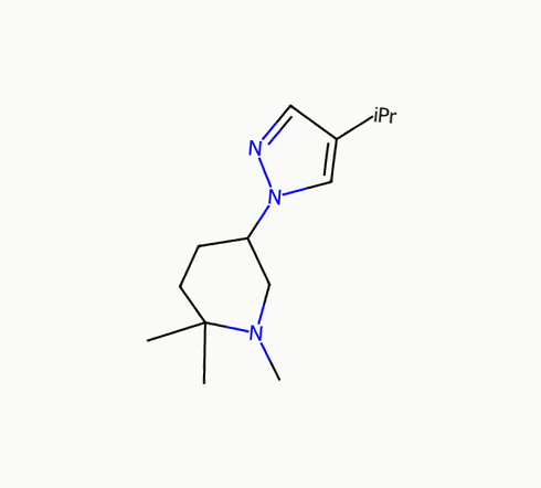 CC(C)c1cnn(C2CCC(C)(C)N(C)C2)c1